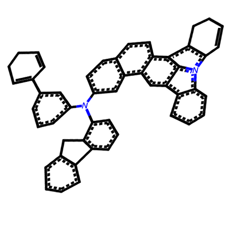 C1=CC(c2cccc(N(c3ccc4ccc5c(cc6c7ccccc7n7c8c(c5c67)CCC=C8)c4c3)c3cccc4c3Cc3ccccc3-4)c2)=CCC1